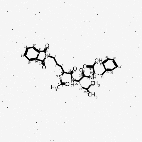 CC(=O)SC(CCCN1C(=O)c2ccccc2C1=O)C(=O)N[C@@H](CC(C)C)C(=O)N[C@@H](Cc1ccccc1)C(=O)O